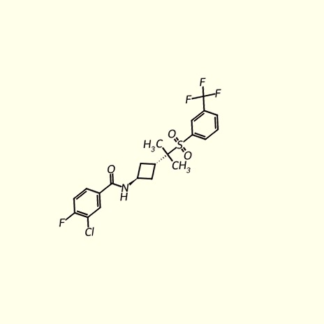 CC(C)([C@H]1C[C@H](NC(=O)c2ccc(F)c(Cl)c2)C1)S(=O)(=O)c1cccc(C(F)(F)F)c1